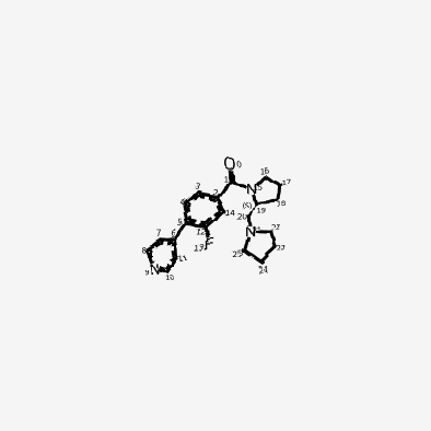 O=C(c1ccc(-c2ccncc2)c(F)c1)N1CCC[C@H]1CN1CCCC1